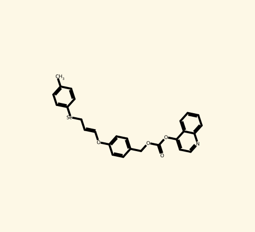 Cc1ccc([Se]CC=COc2ccc(COC(=O)Oc3ccnc4ccccc34)cc2)cc1